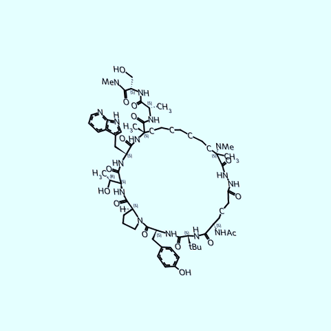 CNC(=O)[C@H](CO)NC(=O)[C@H](C)NC(=O)[C@]1(C)CCCCCCC[C@](C)(NC)C(=O)NNC(=O)CCC[C@H](NC(C)=O)C(=O)N[C@@H](C(C)(C)C)C(=O)N[C@@H](Cc2ccc(O)cc2)C(=O)N2CCC[C@H]2C(=O)N[C@@H]([C@@H](C)O)C(=O)N[C@@H](Cc2c[nH]c3ncccc23)C(=O)N1